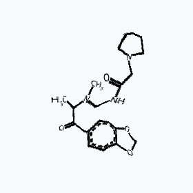 CC(C(=O)c1ccc2c(c1)OCO2)N(C)CNC(=O)CN1CCCC1